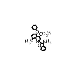 Cc1c(-c2cc(C(=O)O)c3c(Oc4ccccc4)ccc(C)c3n2)oc2ccccc12